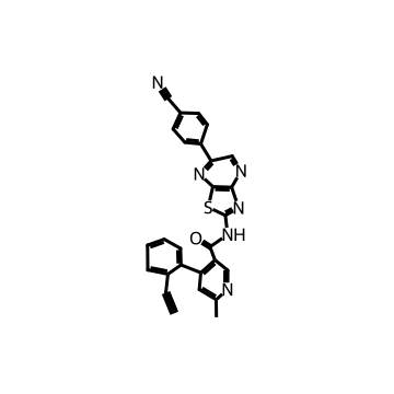 C#Cc1ccccc1-c1cc(C)ncc1C(=O)Nc1nc2ncc(-c3ccc(C#N)cc3)nc2s1